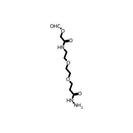 NNC(=O)CCOCCOCCNC(=O)COC=O